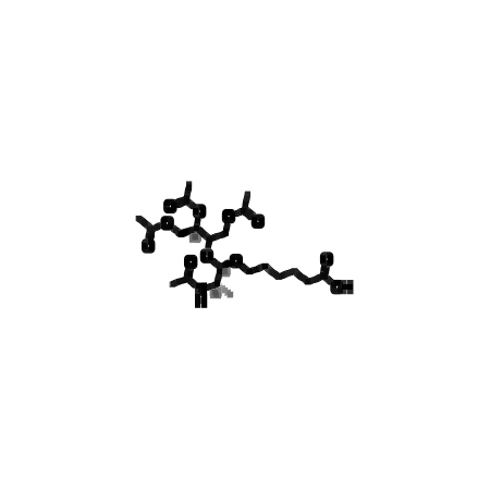 CC(=O)N[C@@H](C)[C@H](OCCCCCC(=O)O)OC(COC(C)=O)[C@@H](COC(C)=O)OC(C)=O